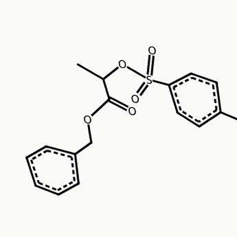 Cc1ccc(S(=O)(=O)OC(C)C(=O)OCc2ccccc2)cc1